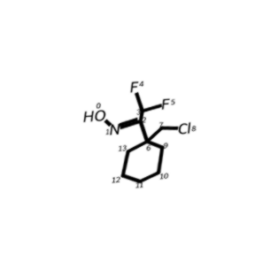 ON=C(C(F)F)C1(CCl)CCCCC1